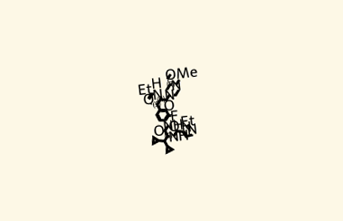 CCC(=O)N[C@@H](C(=O)N1CCN(C)[C@@H](COC)C1)[C@@H](C)c1ccc(NC(=O)[C@@H](NC(=O)c2ccnn2CC)C(C2CC2)C2CC2)c(F)c1